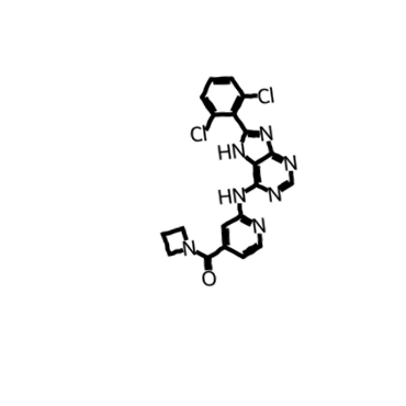 O=C(c1ccnc(Nc2ncnc3nc(-c4c(Cl)cccc4Cl)[nH]c23)c1)N1CCC1